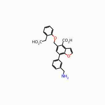 NCc1cccc(-c2cc(COc3ccccc3CC(=O)O)c(C(=O)O)c3ccoc23)c1